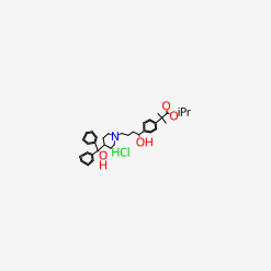 CC(C)OC(=O)C(C)(C)c1ccc(C(O)CCCN2CCC(C(O)(c3ccccc3)c3ccccc3)CC2)cc1.Cl